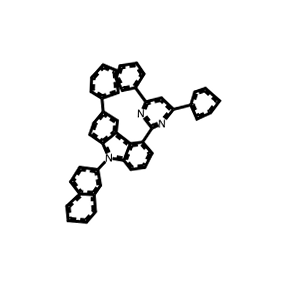 c1ccc(-c2ccc3c(c2)c2c(-c4nc(-c5ccccc5)cc(-c5ccccc5)n4)cccc2n3-c2ccc3ccccc3c2)cc1